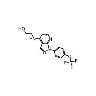 OCCNc1ccnc2c1cnn2-c1ccc(OC(F)(F)F)cc1